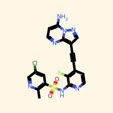 Cc1ncc(Cl)cc1S(=O)(=O)Nc1nccc(C#Cc2cnn3c(N)ccnc23)c1F